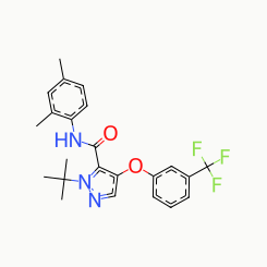 Cc1ccc(NC(=O)c2c(Oc3cccc(C(F)(F)F)c3)cnn2C(C)(C)C)c(C)c1